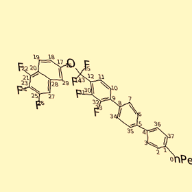 CCCCCc1ccc(-c2ccc(-c3ccc(C(F)(F)Oc4ccc5c(F)c(F)c(F)cc5c4)c(F)c3F)cc2)cc1